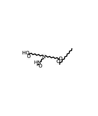 CCCCCCCCC(CCC)OC(=O)CCCCCCCN(CCCCCCCC(=O)O)CCCNC(C)=O